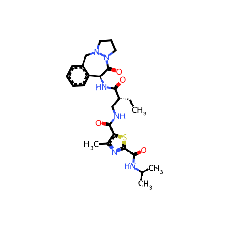 CC[C@H](CNC(=O)c1sc(C(=O)NC(C)C)nc1C)C(=O)N[C@@H]1C(=O)N2CCCN2Cc2ccccc21